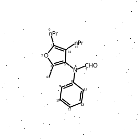 CCCc1oc(C)c(N(C=O)c2ccccc2)c1CCC